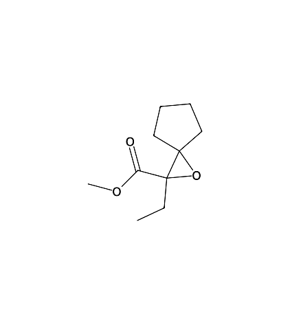 CCC1(C(=O)OC)OC12CCCC2